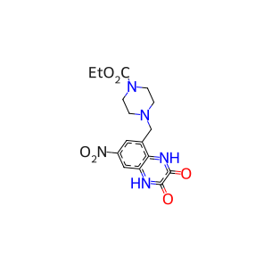 CCOC(=O)N1CCN(Cc2cc([N+](=O)[O-])cc3[nH]c(=O)c(=O)[nH]c23)CC1